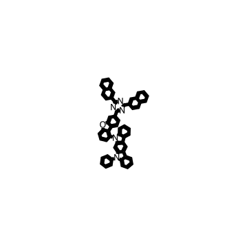 c1ccc(-n2c3ccccc3c3cc4c5ccccc5n(-c5cccc6oc7cc(-c8nc(-c9ccc%10ccccc%10c9)nc(-c9ccc%10ccccc%10c9)n8)ccc7c56)c4cc32)cc1